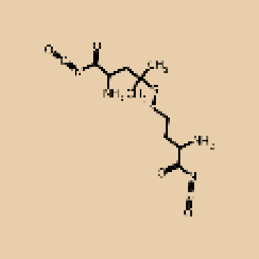 CC(C)(CC(N)C(=O)N=C=O)SSCCC(N)C(=O)N=C=O